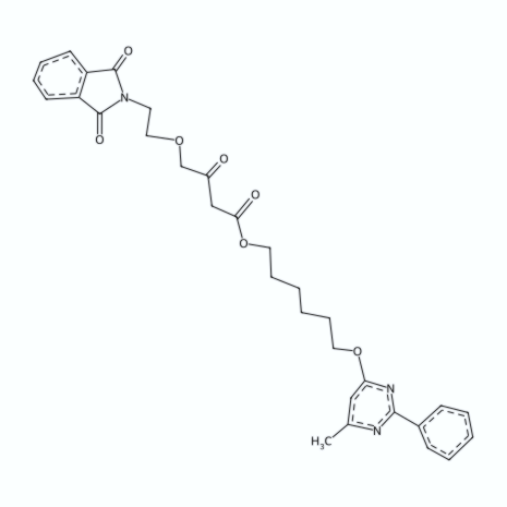 Cc1cc(OCCCCCCOC(=O)CC(=O)COCCN2C(=O)c3ccccc3C2=O)nc(-c2ccccc2)n1